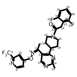 CC(=NOc1ccnc(C(F)(F)F)c1)c1cnc(C)nc1C1CCN(C(=O)Cc2c(F)cccc2F)CC1